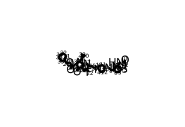 O=C1CSc2ccc(CNC3CCN(CCc4nc5c(cc4F)c(=O)c(C(=O)OCc4ccccc4)cn5C4CC4)CC3)nc2N1